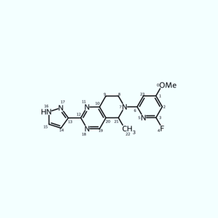 COc1cc(F)nc(N2CCc3nc(-c4cc[nH]n4)ncc3C2C)c1